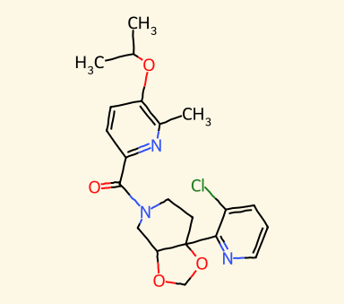 Cc1nc(C(=O)N2CCC3(c4ncccc4Cl)OCOC3C2)ccc1OC(C)C